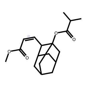 COC(=O)/C=C\C1C2CC3CC(C2)CC1(OC(=O)C(C)C)C3